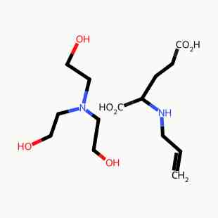 C=CCNC(CCC(=O)O)C(=O)O.OCCN(CCO)CCO